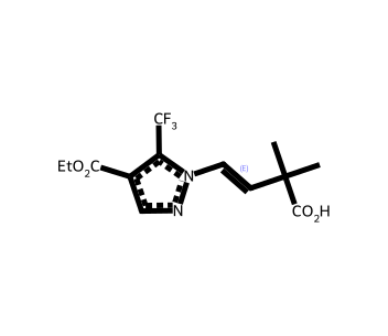 CCOC(=O)c1cnn(/C=C/C(C)(C)C(=O)O)c1C(F)(F)F